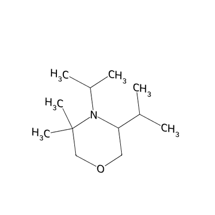 CC(C)C1COCC(C)(C)N1C(C)C